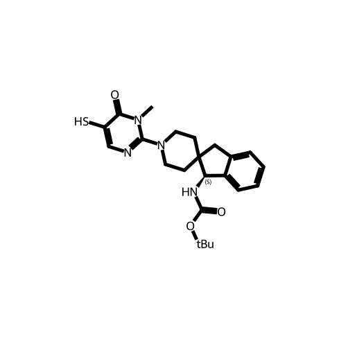 Cn1c(N2CCC3(CC2)Cc2ccccc2[C@H]3NC(=O)OC(C)(C)C)ncc(S)c1=O